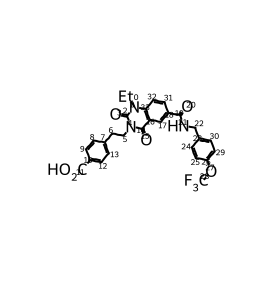 CCn1c(=O)n(CCc2ccc(C(=O)O)cc2)c(=O)c2cc(C(=O)NCc3ccc(OC(F)(F)F)cc3)ccc21